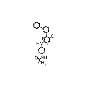 CC(=O)N[C@H]1CC[C@@H](Nc2ncc(Cl)c(-c3cccc(-c4ccccc4)c3)n2)CC1